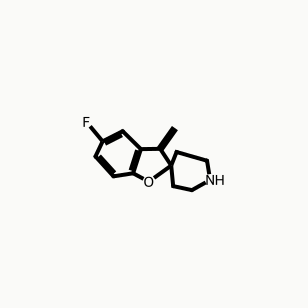 C=C1c2cc(F)ccc2OC12CCNCC2